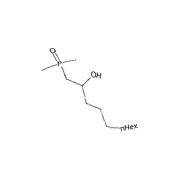 CCCCCCCCCC(O)CP(C)(C)=O